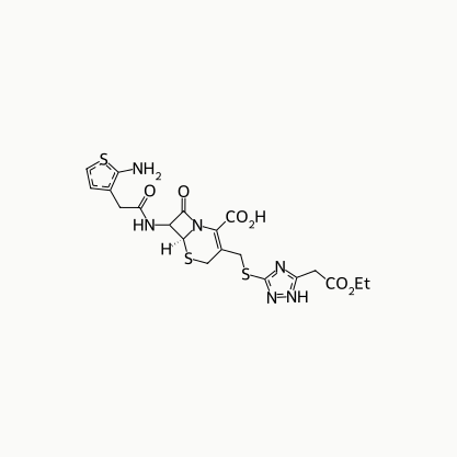 CCOC(=O)Cc1nc(SCC2=C(C(=O)O)N3C(=O)C(NC(=O)Cc4ccsc4N)[C@@H]3SC2)n[nH]1